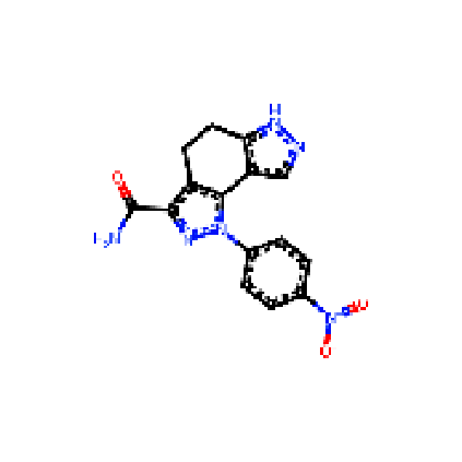 NC(=O)c1nn(-c2ccc([N+](=O)[O-])cc2)c2c1CCc1[nH]ncc1-2